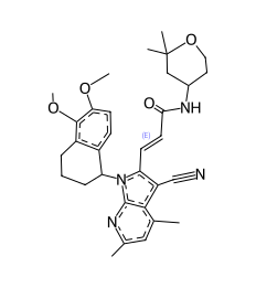 COc1ccc2c(c1OC)CCCC2n1c(/C=C/C(=O)NC2CCOC(C)(C)C2)c(C#N)c2c(C)cc(C)nc21